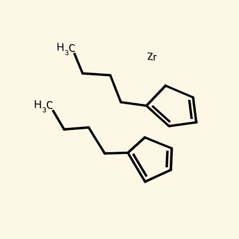 CCCCC1=CC=CC1.CCCCC1=CC=CC1.[Zr]